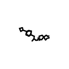 CC(Cc1ccc(C2CCC2)cc1)CN1CCC2(CSC2)C1